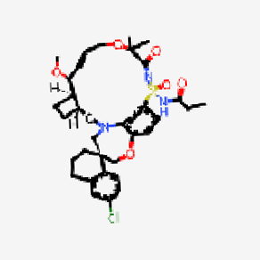 CCC(=O)N[S@@]1(=O)=NC(=O)C(C)(C)OC/C=C/[C@H](OC)[C@@H]2CC[C@H]2CN2C[C@@]3(CCCc4cc(Cl)ccc43)COc3ccc1cc32